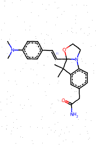 CN(C)c1ccc(/C=C/C23OCCN2c2ccc(CC(N)=O)cc2C3(C)C)cc1